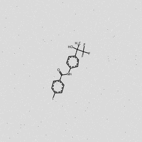 CC(O)(c1ccc(NC(=O)c2ccc(I)cc2)cc1)C(F)(F)F